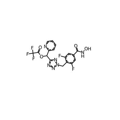 O=C(NO)c1cc(F)c(Cn2nnc(C(OC(=O)C(F)(F)F)c3ccccn3)n2)c(F)c1